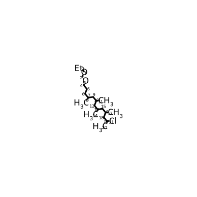 CCOCOCCCC(C)CC(C)CC(C)CC(C)CC(C)Cl